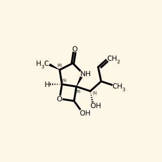 C=CC(C)[C@H](O)[C@@]12NC(=O)[C@H](C)[C@@H]1OC2O